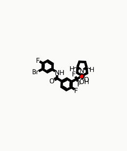 O=C(Nc1ccc(F)c(Br)c1)c1ccc(F)c(C(F)(F)C(=O)N2[C@@H]3CC[C@H]2C[C@@H](O)C3)c1